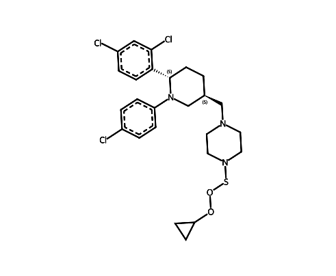 Clc1ccc(N2C[C@H](CN3CCN(SOOC4CC4)CC3)CC[C@H]2c2ccc(Cl)cc2Cl)cc1